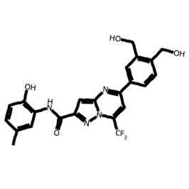 Cc1ccc(O)c(NC(=O)c2cc3nc(-c4ccc(CO)c(CO)c4)cc(C(F)(F)F)n3n2)c1